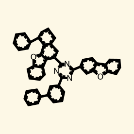 c1ccc(-c2cccc(-c3nc(-c4ccc5c(c4)oc4ccccc45)nc(-c4cc5cccc(-c6ccccc6)c5c5oc6ccccc6c45)n3)c2)cc1